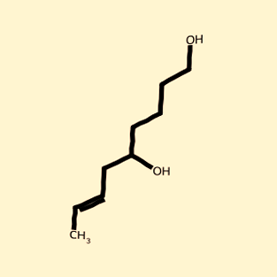 C/C=C/CC(O)CCCCO